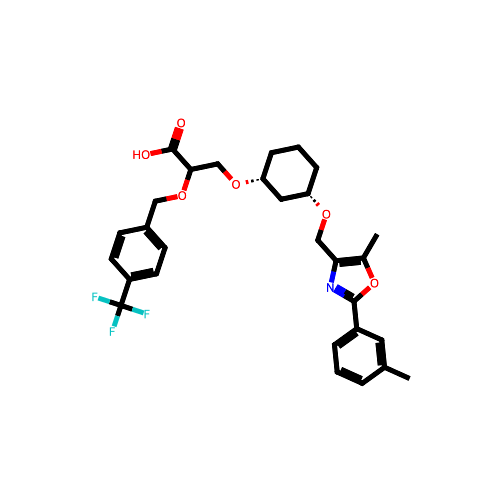 Cc1cccc(-c2nc(CO[C@H]3CCC[C@@H](OCC(OCc4ccc(C(F)(F)F)cc4)C(=O)O)C3)c(C)o2)c1